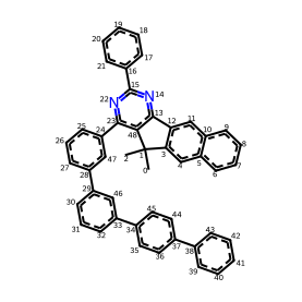 CC1(C)c2cc3ccccc3cc2-c2nc(-c3ccccc3)nc(-c3cccc(-c4cccc(-c5ccc(-c6ccccc6)cc5)c4)c3)c21